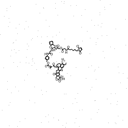 CC[C@@]1(O)C(=O)OCc2c1cc1n(c2=O)Cc2c-1nc1cc(F)c(C)c3c1c2C(NC(=O)[C@@H]1CN1C(=O)OCc1ccc(NC(=O)CNC(=O)[C@H](Cc2ccccc2)NC(=O)COC(=O)CNC(=O)CCCCCN2C(=O)C=CC2=O)cc1)CC3